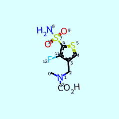 CN(Cc1csc(S(N)(=O)=O)c1F)C(=O)O